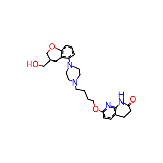 O=C1CCc2ccc(OCCCCN3CCN(c4cccc5c4CC(CO)CO5)CC3)nc2N1